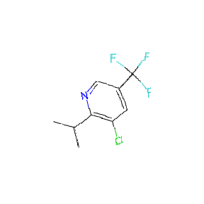 CC(C)c1ncc(C(F)(F)F)cc1Cl